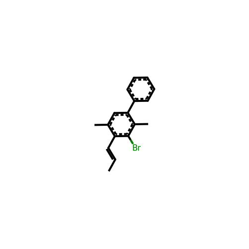 CC=Cc1c(C)cc(-c2ccccc2)c(C)c1Br